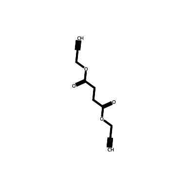 C#CCOC(=O)CCC(=O)OCC#C